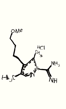 COCCCc1c(C)nn(C(=N)N)c1C.Cl